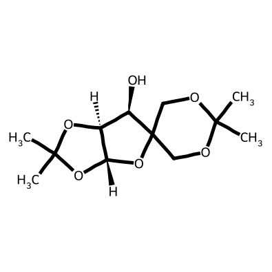 CC1(C)OCC2(CO1)O[C@@H]1OC(C)(C)O[C@H]1[C@H]2O